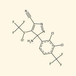 N#CC1=C([S+]([O-])C(F)(F)F)C(N)(c2ccc(C(F)(F)F)c(Cl)c2Cl)N=N1